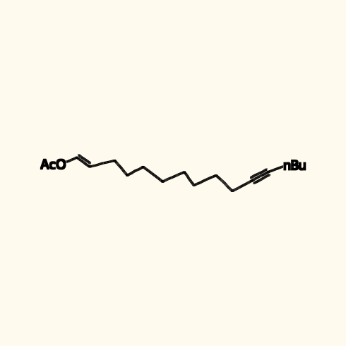 CCCCC#CCCCCCCCCC=COC(C)=O